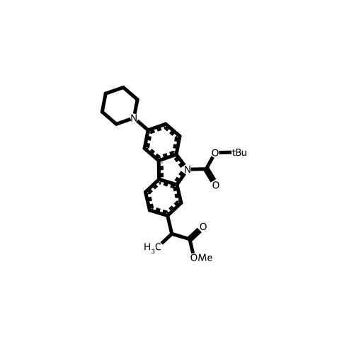 COC(=O)C(C)c1ccc2c3cc(N4CCCCC4)ccc3n(C(=O)OC(C)(C)C)c2c1